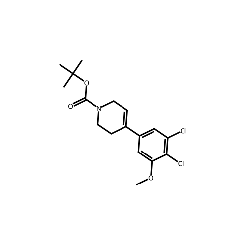 COc1cc(C2=CCN(C(=O)OC(C)(C)C)CC2)cc(Cl)c1Cl